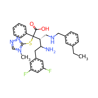 CCc1cccc(CNC[C@H](C(N)Cc2cc(F)cc(F)c2)[C@@](Sc2nncn2C)(C(=O)O)c2ccccc2)c1